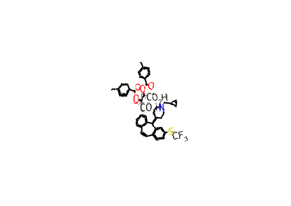 Cc1ccc(C(=O)O[C@H](C(=O)O)[C@H](OC(=O)c2ccc(C)cc2)C(=O)O)cc1.FC(F)(F)Sc1ccc2c(c1)C(=C1CCN(CC3CC3)CC1)c1ccccc1C=C2